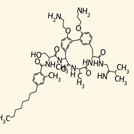 CCCCCCCCc1ccc(C(=O)NC(CO)C(=O)N(C)C2C(=O)NC(C)C(=O)NC(C(=O)NCC(=N)C(C)C)Cc3ccc(OCCN)c(c3)-c3cc2ccc3OCCN)c(C)c1